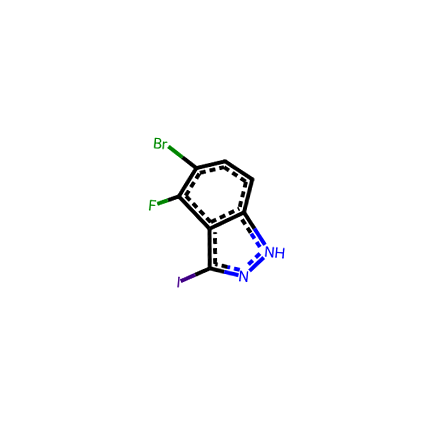 Fc1c(Br)ccc2[nH]nc(I)c12